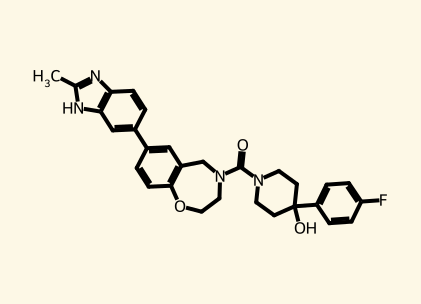 Cc1nc2ccc(-c3ccc4c(c3)CN(C(=O)N3CCC(O)(c5ccc(F)cc5)CC3)CCO4)cc2[nH]1